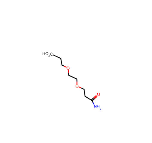 NC(=O)CCOCCOCCC(=O)O